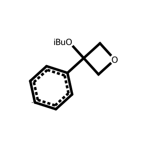 CC(C)COC1(c2cc[c]cc2)COC1